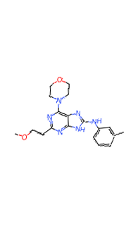 COCCc1nc(N2CCOCC2)c2nc(Nc3cccc(C)c3)[nH]c2n1